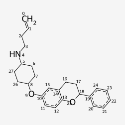 C=CCCNC1CCC(Oc2ccc3c(c2)CCC(c2ccccc2)O3)CC1